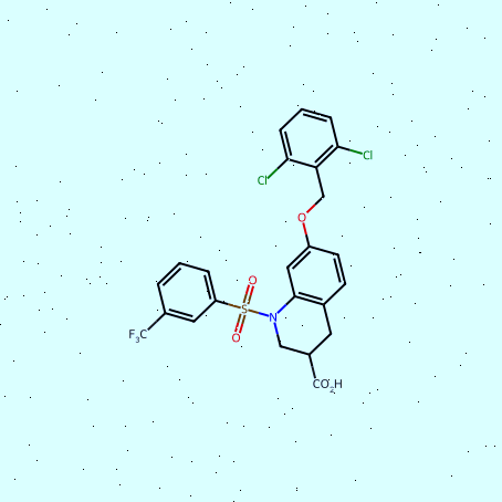 O=C(O)C1Cc2ccc(OCc3c(Cl)cccc3Cl)cc2N(S(=O)(=O)c2cccc(C(F)(F)F)c2)C1